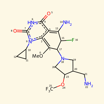 COC1=c2c(c(=O)[nH]c(=O)n2C2CC2)=C(N)C(F)C1N1CC(CN)C(OC(F)(F)F)C1